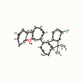 CC1(C)c2cc(Cl)ccc2-c2c(-c3cccc4c3oc3ccccc34)cccc21